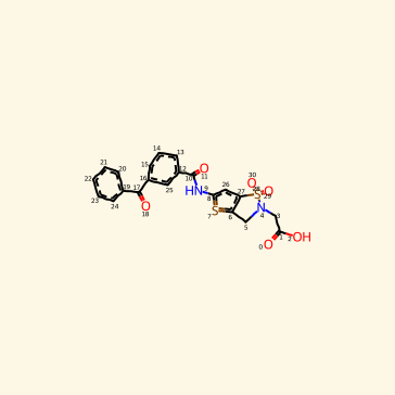 O=C(O)CN1Cc2sc(NC(=O)c3cccc(C(=O)c4ccccc4)c3)cc2S1(=O)=O